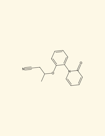 CC(CC#N)Oc1ccccc1-n1ccccc1=O